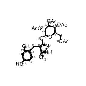 CC(=O)OC[C@H]1O[C@@H](Oc2n[nH]c(C(F)(F)F)c2Cc2ccc(O)cc2C)[C@H](OC(C)=O)[C@@H](OC(C)=O)[C@H]1OC(C)=O